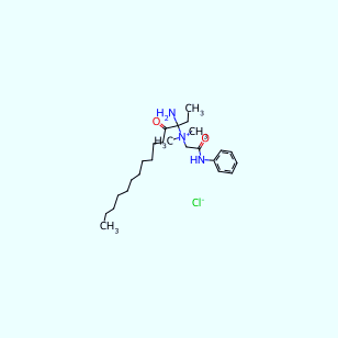 CCCCCCCCCCCC(=O)C(N)(CC)[N+](C)(C)CC(=O)Nc1ccccc1.[Cl-]